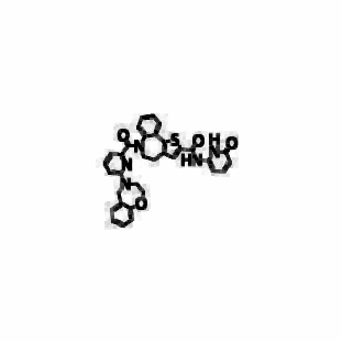 O=C(Nc1cccc(=O)[nH]1)c1cc2c(s1)-c1ccccc1N(C(=O)c1cccc(N3CCOc4ccccc4C3)n1)CC2